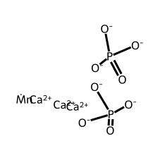 O=P([O-])([O-])[O-].O=P([O-])([O-])[O-].[Ca+2].[Ca+2].[Ca+2].[Mn]